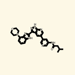 CC(C)CC(=O)Nc1cncc(-c2cnc3[nH]nc(-c4nc5c(N6CCOCC6)cccc5[nH]4)c3c2)c1